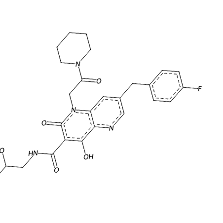 CC(O)CNC(=O)c1c(O)c2ncc(Cc3ccc(F)cc3)cc2n(CC(=O)N2CCCCC2)c1=O